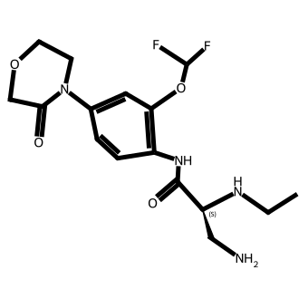 CCN[C@@H](CN)C(=O)Nc1ccc(N2CCOCC2=O)cc1OC(F)F